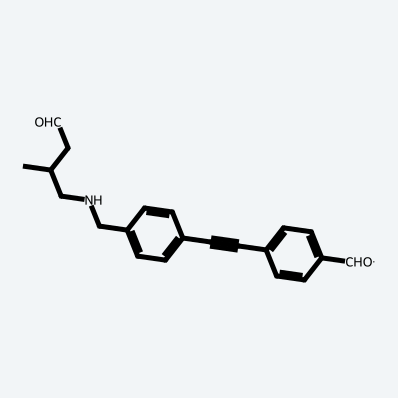 CC(CC=O)CNCc1ccc(C#Cc2ccc([C]=O)cc2)cc1